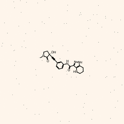 CN1CC[C@@](O)(C#Cc2cccc(NC(=O)c3n[nH]c4c3NCCC4)c2)C1=O